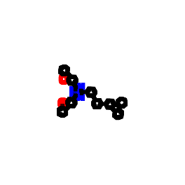 c1cc(-c2cccc(-c3nc(-c4ccc5c(c4)oc4ccccc45)nc(-c4ccc5c(c4)oc4ccccc45)n3)c2)cc(-c2ccc3c(c2)-c2ccccc2C32CCCCC2)c1